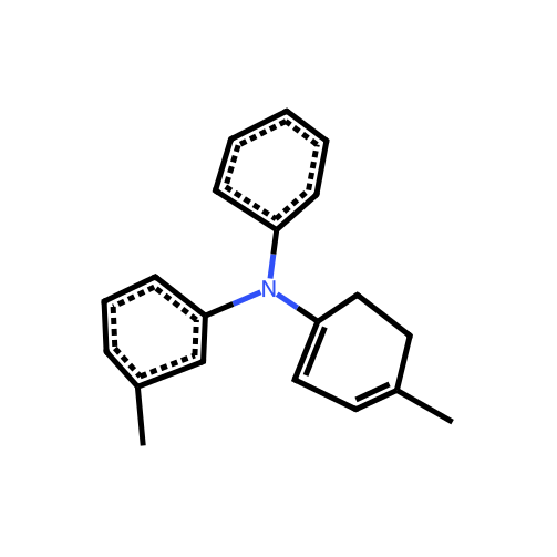 CC1=CC=C(N(c2ccccc2)c2cccc(C)c2)CC1